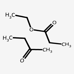 CCC(C)=O.CCOC(=O)CC